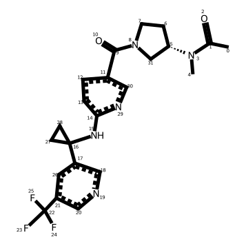 CC(=O)N(C)[C@H]1CCN(C(=O)c2ccc(NC3(c4cncc(C(F)(F)F)c4)CC3)nc2)C1